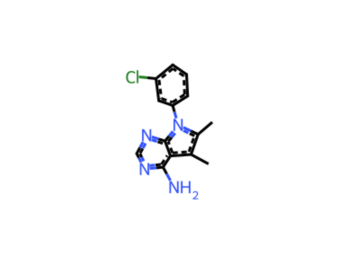 Cc1c(C)n(-c2cccc(Cl)c2)c2ncnc(N)c12